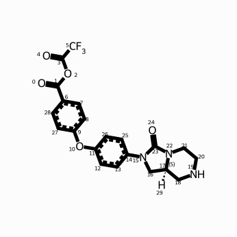 O=C(OC(=O)C(F)(F)F)c1ccc(Oc2ccc(N3C[C@@H]4CNCCN4C3=O)cc2)cc1